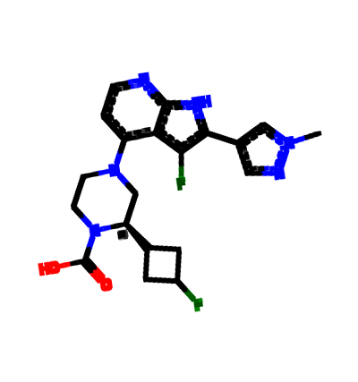 Cn1cc(-c2[nH]c3nccc(N4CCN(C(=O)O)[C@H](C5CC(F)C5)C4)c3c2F)cn1